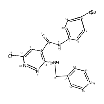 CC(C)(C)c1ccc(NC(=O)c2cc(Cl)nnc2NCc2ccncc2)cc1